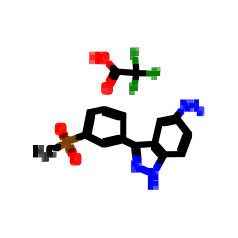 CS(=O)(=O)c1cccc(-c2n[nH]c3ccc(N)cc23)c1.O=C(O)C(F)(F)F